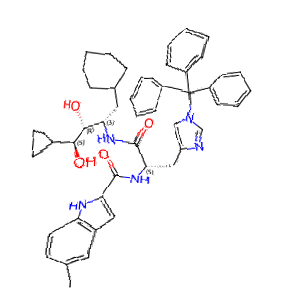 Cc1ccc2[nH]c(C(=O)N[C@@H](Cc3cn(C(c4ccccc4)(c4ccccc4)c4ccccc4)cn3)C(=O)N[C@@H](CC3CCCCC3)[C@@H](O)[C@@H](O)C3CC3)cc2c1